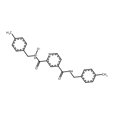 Cc1ccc(CNC(=O)c2ccnc(C(=O)[NH+]([O-])Cc3ccc(C)cc3)c2)cc1